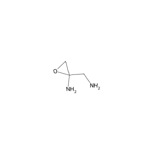 NCC1(N)CO1